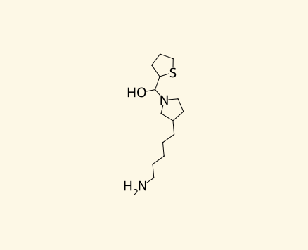 NCCCCCC1CCN(C(O)C2CCCS2)C1